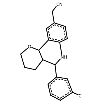 N#CCc1ccc2c(c1)C1OCCCC1C(c1cccc(Cl)c1)N2